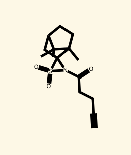 C#CCCC(=O)N1C2(CC3CCC2(C)C3(C)C)S1(=O)=O